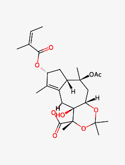 C/C=C(/C)C(=O)O[C@@H]1C[C@H]2C(=C1C)[C@@H]1OC(=O)[C@@]3(C)OC(C)(C)O[C@@H](C[C@]2(C)OC(C)=O)[C@@]13O